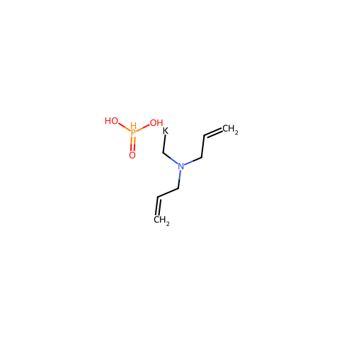 C=CCN([CH2][K])CC=C.O=[PH](O)O